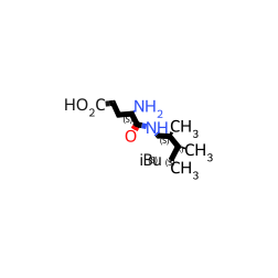 CC[C@H](C)[C@H](C)[C@@H](C)[C@H](C)CNC(=O)[C@@H](N)CCC(=O)O